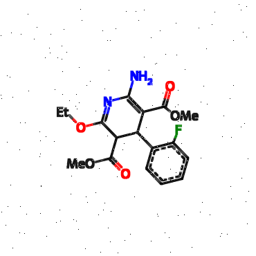 CCOC1=NC(N)=C(C(=O)OC)C(c2ccccc2F)C1C(=O)OC